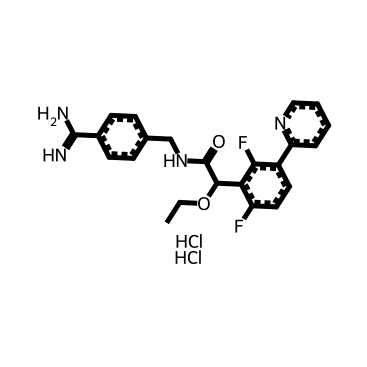 CCOC(C(=O)NCc1ccc(C(=N)N)cc1)c1c(F)ccc(-c2ccccn2)c1F.Cl.Cl